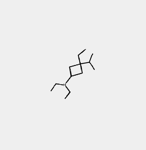 CCN(CC)C1CC(CC)(C(C)C)C1